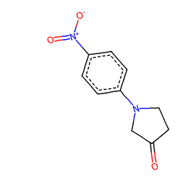 O=C1CCN(c2ccc([N+](=O)[O-])cc2)C1